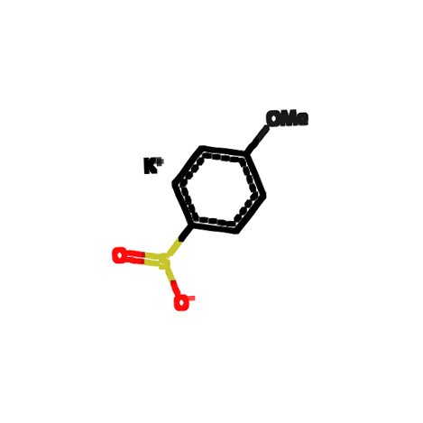 COc1ccc(S(=O)[O-])cc1.[K+]